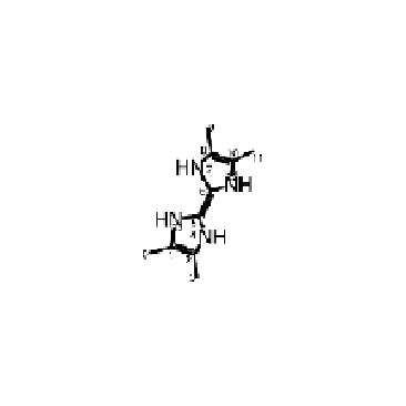 CC1=C(C)NC(=C2NC(C)=C(C)N2)N1